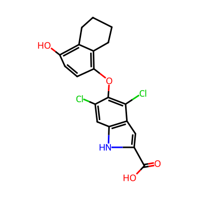 O=C(O)c1cc2c(Cl)c(Oc3ccc(O)c4c3CCCC4)c(Cl)cc2[nH]1